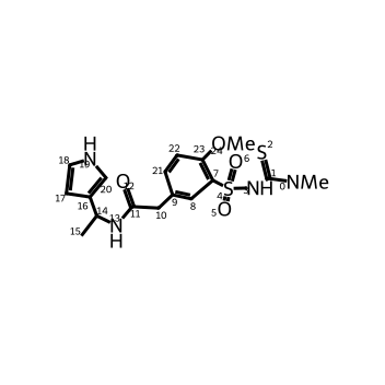 CNC(=S)NS(=O)(=O)c1cc(CC(=O)NC(C)c2cc[nH]c2)ccc1OC